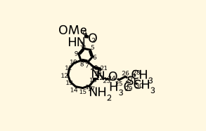 COC(=O)Nc1ccc2c(c1)CCCCCC[C@H](N)c1nc-2cn1COCC[Si](C)(C)C